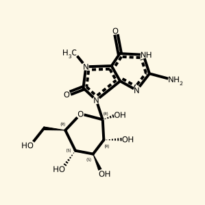 Cn1c(=O)n([C@]2(O)O[C@H](CO)[C@@H](O)[C@H](O)[C@H]2O)c2nc(N)[nH]c(=O)c21